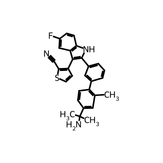 Cc1cc(C(C)(C)N)ccc1-c1cccc(-c2[nH]c3ccc(F)cc3c2-c2ccsc2C#N)c1